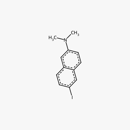 CN(C)c1ccc2cc(I)ccc2c1